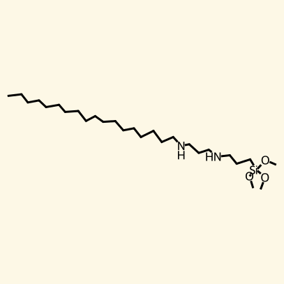 CCCCCCCCCCCCCCCCCCNCCCNCCC[Si](OC)(OC)OC